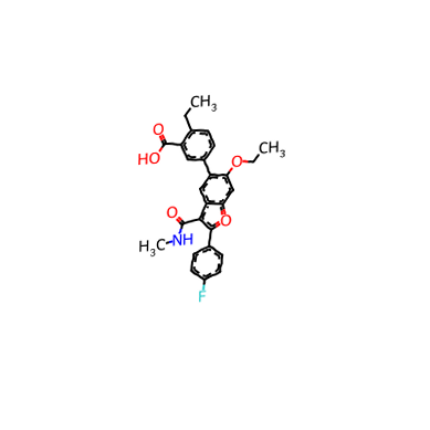 CCOc1cc2oc(-c3ccc(F)cc3)c(C(=O)NC)c2cc1-c1ccc(CC)c(C(=O)O)c1